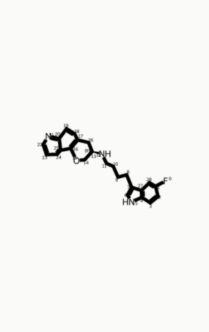 Fc1ccc2[nH]cc(CCCCN[C@H]3COc4c(ccc5ncccc45)C3)c2c1